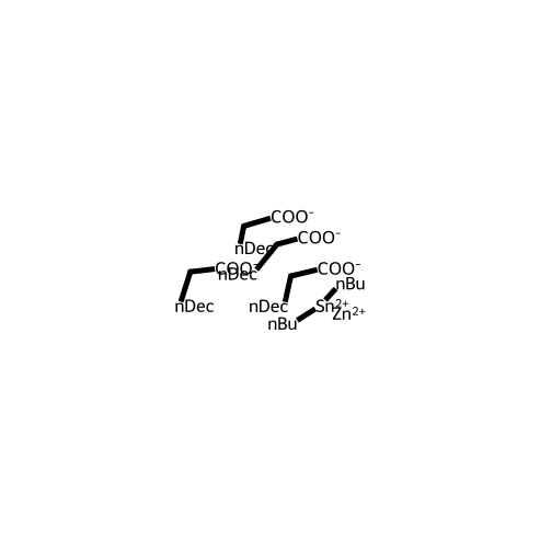 CCCCCCCCCCCC(=O)[O-].CCCCCCCCCCCC(=O)[O-].CCCCCCCCCCCC(=O)[O-].CCCCCCCCCCCC(=O)[O-].CCC[CH2][Sn+2][CH2]CCC.[Zn+2]